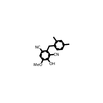 COc1cc(C#N)c(Cc2ccc(C)cc2C)c(C#N)c1O